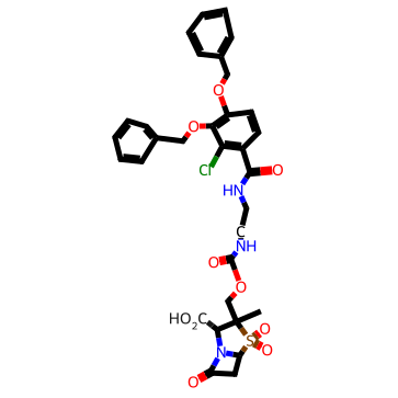 CC1(COC(=O)NCCNC(=O)c2ccc(OCc3ccccc3)c(OCc3ccccc3)c2Cl)C(C(=O)O)N2C(=O)CC2S1(=O)=O